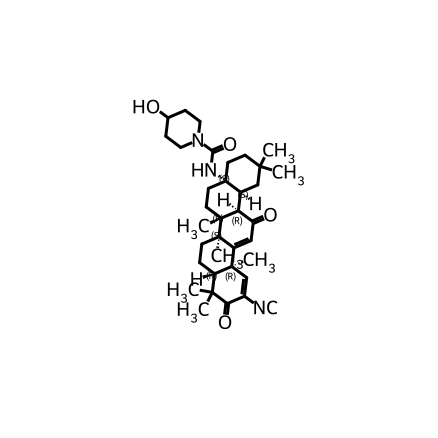 [C-]#[N+]C1=C[C@]2(C)C3=CC(=O)[C@@H]4[C@@H]5CC(C)(C)CC[C@]5(NC(=O)N5CCC(O)CC5)CC[C@@]4(C)[C@]3(C)CC[C@H]2C(C)(C)C1=O